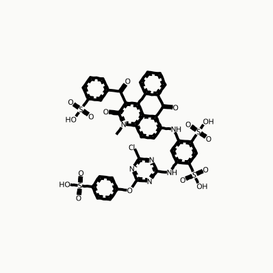 Cn1c(=O)c(C(=O)c2cccc(S(=O)(=O)O)c2)c2c3c(c(Nc4cc(Nc5nc(Cl)nc(Oc6ccc(S(=O)(=O)O)cc6)n5)c(S(=O)(=O)O)cc4S(=O)(=O)O)ccc31)C(=O)c1ccccc1-2